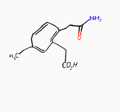 Cc1ccc(CC(N)=O)c(CC(=O)O)c1